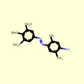 COc1c(C(=O)O)cc(N=Nc2cc(C)c(N)cc2C)cc1S(=O)(=O)O